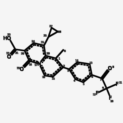 Cc1c(-c2ccc(C(=O)C(F)(F)F)cc2)ccn2c(=O)c(C(=O)O)cc(C3CC3)c12